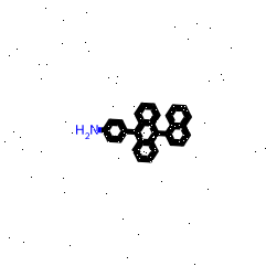 Nc1ccc(-c2c3ccccc3c(-c3cccc4ccccc34)c3ccccc23)cc1